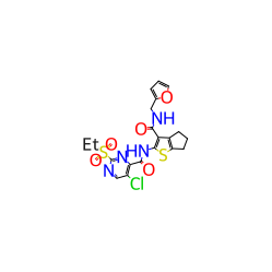 CCS(=O)(=O)c1ncc(Cl)c(C(=O)Nc2sc3c(c2C(=O)NCc2ccco2)CCC3)n1